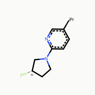 CC(C)c1ccc(N2CC[C@H](F)C2)nc1